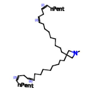 CCCCC/C=C\C/C=C\CCCCCCCCC1(CCCCCCCC/C=C\C/C=C\CCCCC)CN(C)C1